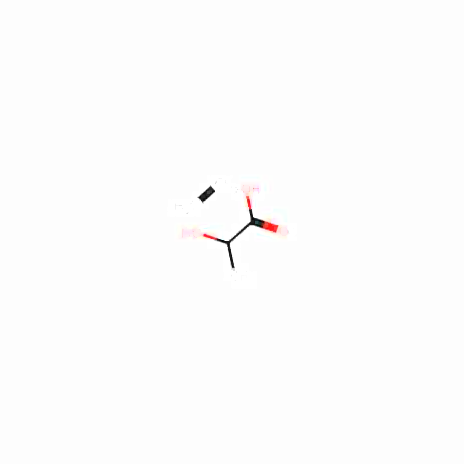 C=C.CC(O)C(=O)O